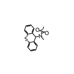 CN(C1c2ccccc2Sc2ccccc21)S(C)(=O)=O